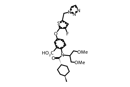 COCC(COC)N(c1ccc(Oc2sc(Cn3ccnn3)cc2F)cc1C(=O)O)C(=O)[C@H]1CC[C@H](C)CC1